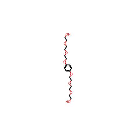 OCCOCCOCCOc1ccc(OCCOCCOCCO)cc1